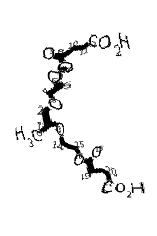 CC(COCCOOC(=O)CCC(=O)O)OCCOC(=O)CCC(=O)O